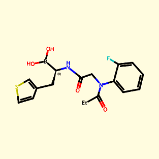 CCC(=O)N(CC(=O)N[C@@H](Cc1ccsc1)B(O)O)c1ccccc1F